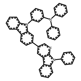 c1ccc(N(c2ccccc2)c2cccc(-n3c4ccccc4c4ccc(-c5cnc6c(c5)c5ccccc5n6-c5ccccc5)cc43)c2)cc1